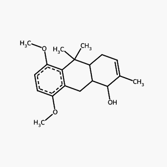 COc1ccc(OC)c2c1CC1C(O)C(C)=CCC1C2(C)C